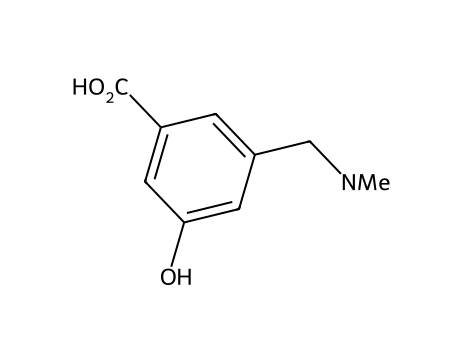 CNCc1cc(O)cc(C(=O)O)c1